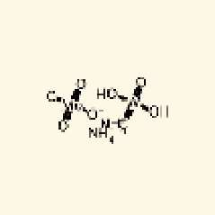 [NH4+].[NH4+].[O]=[Mo](=[O])([O-])[O-].[O]=[W](=[O])([OH])[OH]